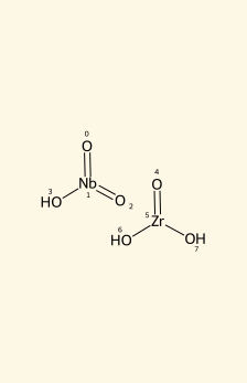 [O]=[Nb](=[O])[OH].[O]=[Zr]([OH])[OH]